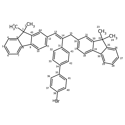 CC1(C)c2ccccc2-c2ccc(/C=C(/Cc3ccc4c(c3)C(C)(C)c3ccccc3-4)c3ccc(-c4ccc(Br)cc4)cc3)cc21